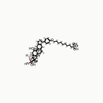 CCCC1O[C@@H]2C[C@H]3[C@@H]4CCC5=Cc6c(cnn6-c6ccc(OCCCCCCCCCP(=O)(O)O)cc6)C[C@]5(C)[C@H]4[C@@H](O)C[C@]3(C)[C@]2(C(=O)CO)O1